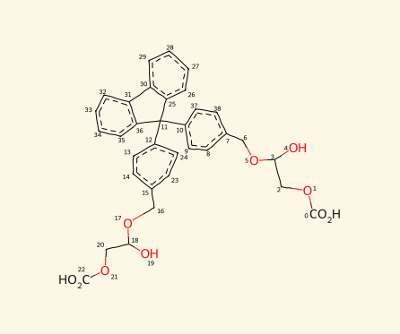 O=C(O)OCC(O)OCc1ccc(C2(c3ccc(COC(O)COC(=O)O)cc3)c3ccccc3-c3ccccc32)cc1